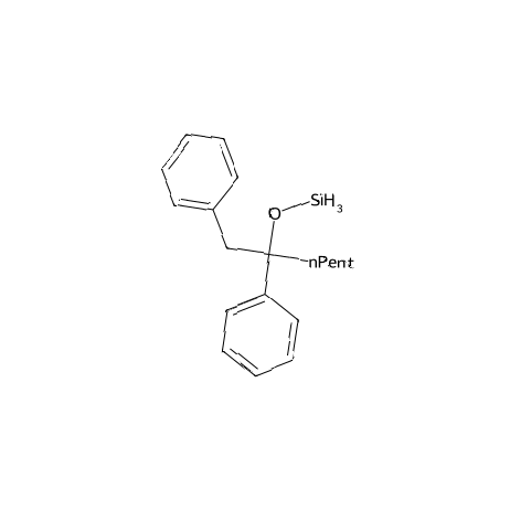 CCCCCC(Cc1ccccc1)(O[SiH3])c1ccccc1